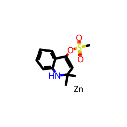 CC1(C)C=C(OS(C)(=O)=O)c2ccccc2N1.[Zn]